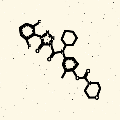 Cc1cc(N(C(=O)n2nnn(-c3c(F)cccc3F)c2=O)C2CCCCC2)ccc1OC(=O)N1CCOCC1